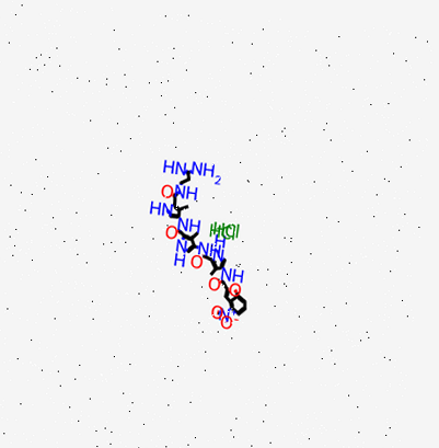 Cc1c(NC(=O)c2cc3c([N+](=O)[O-])cccc3o2)c[nH]c1C(=O)Nc1c[nH]c(C(=O)Nc2c[nH]c(C(=O)NCCC(=N)N)c2C)c1C.Cl.Cl